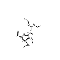 CCOC(C)OCC.COc1cc(C=O)cc(OC)c1OC